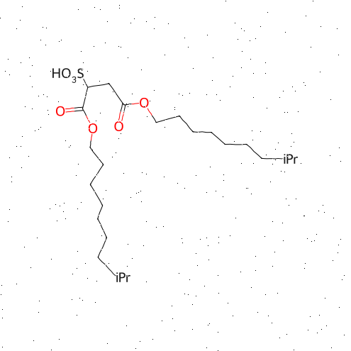 CC(C)CCCCCCCOC(=O)CC(C(=O)OCCCCCCCC(C)C)S(=O)(=O)O